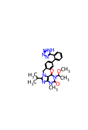 COC(C)n1c(=O)c2c(nc(C(C)C)n2Cc2ccc(-c3ccccc3-c3nnn[nH]3)cc2)n(C)c1=O